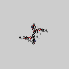 C=CC(=O)Oc1ccc(-c2ccc(N(c3ccc(/C=N\N(C)c4ccccc4)cc3)c3ccc(-c4ccc(N(c5ccc(/C=N\N(C)c6ccccc6)cc5)c5ccc(-c6ccc(OC(=O)C=C)cc6)cc5)c(C)c4)cc3C)cc2)cc1